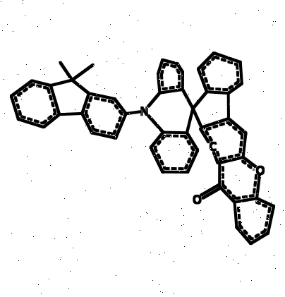 CC1(C)c2ccccc2-c2ccc(N3c4ccccc4C4(c5ccccc5-c5cc6oc7ccccc7c(=O)c6cc54)c4ccccc43)cc21